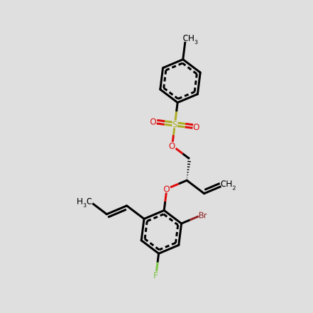 C=C[C@@H](COS(=O)(=O)c1ccc(C)cc1)Oc1c(Br)cc(F)cc1C=CC